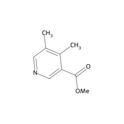 COC(=O)c1cncc(C)c1C